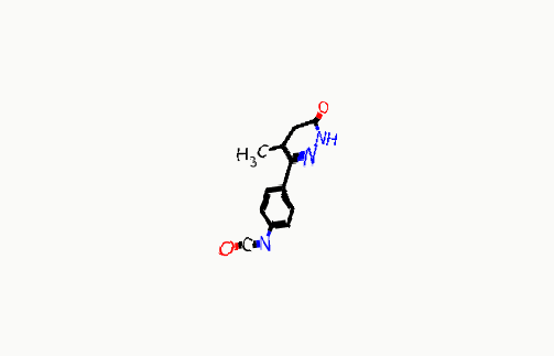 CC1CC(=O)NN=C1c1ccc(N=C=O)cc1